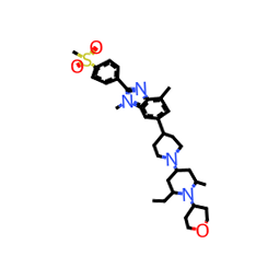 CCC1CC(N2CCC(c3cc(C)c4nc(-c5ccc(S(C)(=O)=O)cc5)n(C)c4c3)CC2)CC(C)N1C1CCOCC1